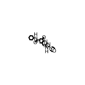 O=C1CN(C(=O)NC2CCCCC2)CC2=C1N=C1N=C(N3CCOCC3)NN1C2